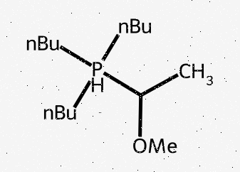 CCCC[PH](CCCC)(CCCC)C(C)OC